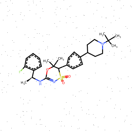 C[C@H](NC1=NS(=O)(=O)C(c2ccc(C3CCN(C(C)(C)C)CC3)cc2)C(C)(C)O1)c1ccccc1F